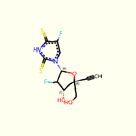 C#C[C@]1(CO)O[C@@H](n2cc(F)c(=S)[nH]c2=S)C(F)[C@H]1O